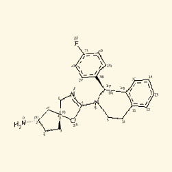 N[C@H]1CC[C@]2(CN=C(N3CCc4ccccc4[C@@H]3c3ccc(F)cc3)O2)C1